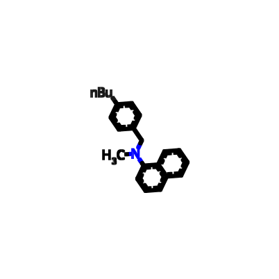 CCCCc1ccc(CN(C)c2cccc3ccccc23)cc1